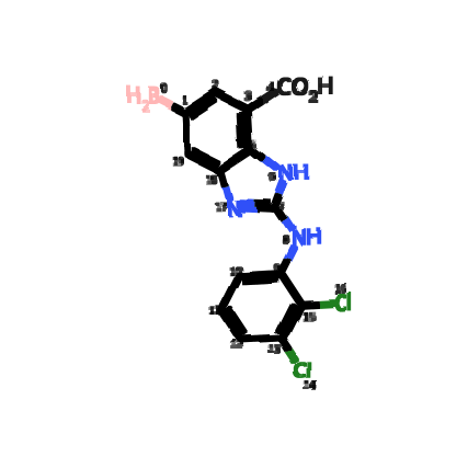 Bc1cc(C(=O)O)c2[nH]c(Nc3cccc(Cl)c3Cl)nc2c1